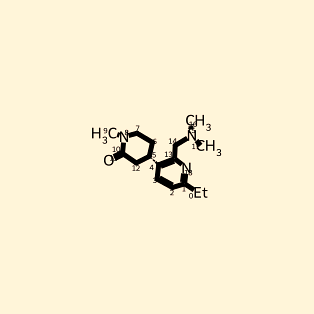 CCc1ccc([C@H]2CCN(C)C(=O)C2)c(CN(C)C)n1